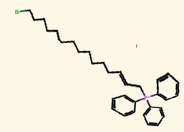 BrCCCCCCCCCCCCC=CC[P+](c1ccccc1)(c1ccccc1)c1ccccc1.[I-]